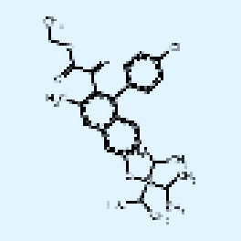 CCOC(=O)C(=O)c1c(C)cc2cc(O[Si](C(C)C)(C(C)C)C(C)C)ccc2c1-c1ccc(Cl)cc1